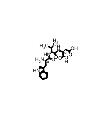 CC(C)[C@H](NC(=O)[C@@H](N)Cc1c[nH]c2ccccc12)C(=O)N[C@@H](CC(=O)O)C(=O)O